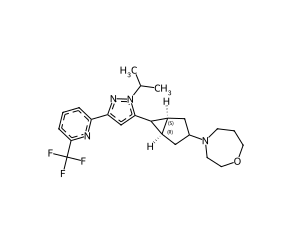 CC(C)n1nc(-c2cccc(C(F)(F)F)n2)cc1C1[C@H]2CC(N3CCCOCC3)C[C@@H]12